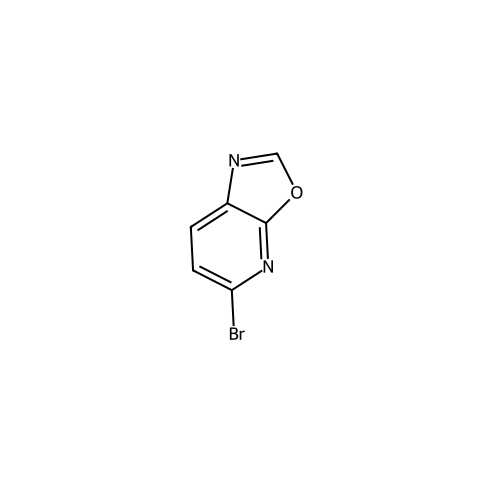 Brc1ccc2ncoc2n1